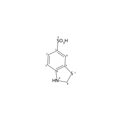 O=S(=O)(O)c1ccc2c(c1)SCN2